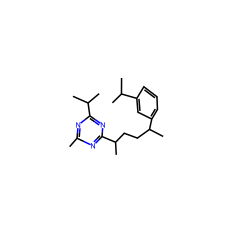 Cc1nc(C(C)C)nc(C(C)CCC(C)c2cccc(C(C)C)c2)n1